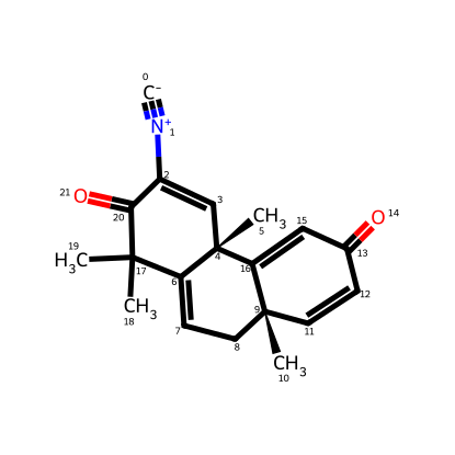 [C-]#[N+]C1=C[C@@]2(C)C(=CC[C@@]3(C)C=CC(=O)C=C23)C(C)(C)C1=O